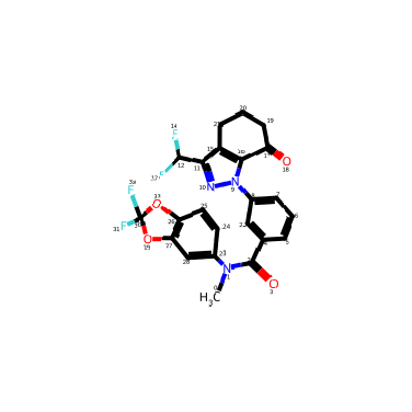 CN(C(=O)c1cccc(-n2nc(C(F)F)c3c2C(=O)CCC3)c1)c1ccc2c(c1)OC(F)(F)O2